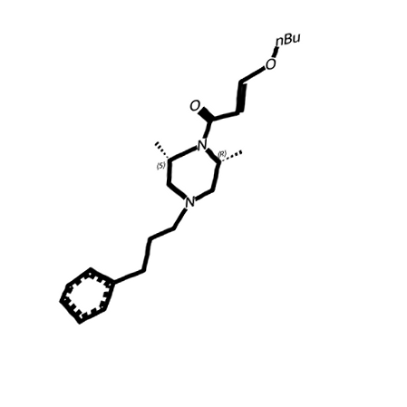 CCCCOC=CC(=O)N1[C@H](C)CN(CCCc2ccccc2)C[C@@H]1C